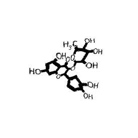 CC1OC(OC2C(=O)c3c(O)cc(O)cc3OC2c2ccc(O)c(O)c2)C(O)C(O)C1O